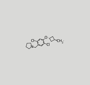 [CH2][C@H]1C[C@H](Oc2cc(Cl)c(CN3CCCC3)cc2Cl)C1